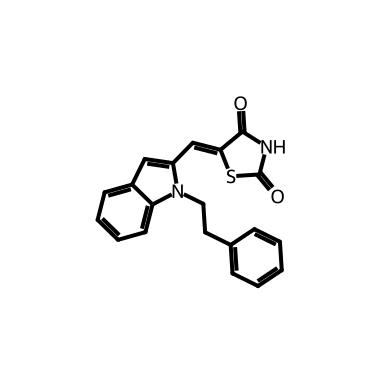 O=C1NC(=O)C(=Cc2cc3ccccc3n2CCc2ccccc2)S1